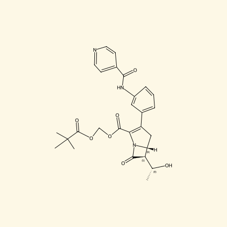 C[C@@H](O)[C@H]1C(=O)N2C(C(=O)OCOC(=O)C(C)(C)C)=C(c3cccc(NC(=O)c4ccncc4)c3)C[C@H]12